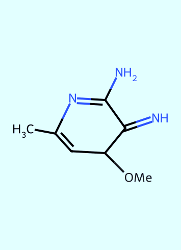 COC1C=C(C)N=C(N)C1=N